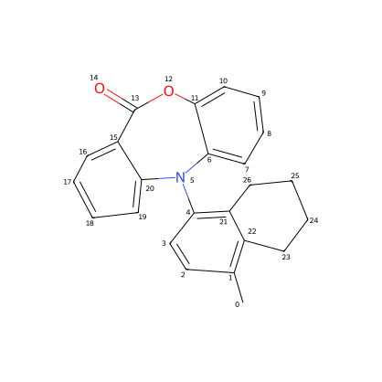 Cc1ccc(N2c3ccccc3OC(=O)c3ccccc32)c2c1CCCC2